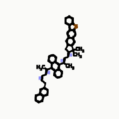 C/C(=C\C=C/Cc1ccc2ccccc2c1)c1c2ccccc2c(/C(C)=C/C=C2\Cc3cc4cc5c(cc4cc3C2(C)C)sc2ccccc25)c2ccccc12